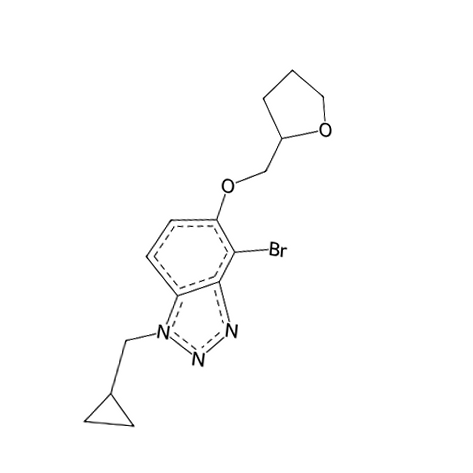 Brc1c(OCC2CCCO2)ccc2c1nnn2CC1CC1